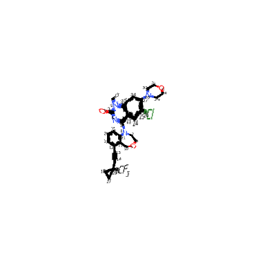 Cn1c(=O)nc(N2CCOCc3c(C#CC4(C(F)(F)F)CC4)cccc32)c2cc(Cl)c(N3CCOCC3)cc21